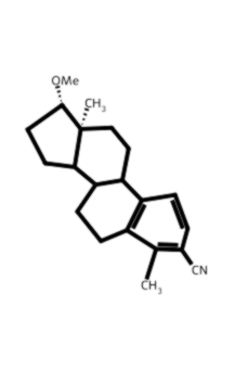 CO[C@H]1CCC2C3CCc4c(ccc(C#N)c4C)C3CC[C@@]21C